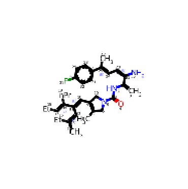 C=C(NC(=O)N1CC(C)=C(/C=C(\C=C(\C)CC)C(=C/CC)/CCC)C1)/C(N)=C\C=C(/C)c1ccc(F)cc1